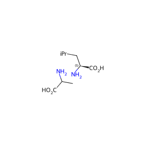 CC(C)C[C@H](N)C(=O)O.CC(N)C(=O)O